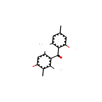 COc1cc(C)cc(O)c1C(=O)c1c(C(=O)O)cc(O)c(C)c1OC